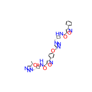 C[C@@H](O)c1cnnn1C[C@H]1C[C@@H](NC(=O)c2cc(-c3ccc(OCc4cn(C[C@H]5C[C@@H](NC(=O)c6cc(-c7ccccc7)no6)C5)nn4)cc3)no2)C1